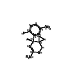 C[C@]1(c2cc([N+](=O)[O-])ccc2F)N=C(N)SCC12CC2